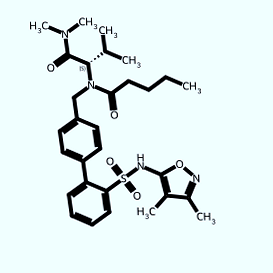 CCCCC(=O)N(Cc1ccc(-c2ccccc2S(=O)(=O)Nc2onc(C)c2C)cc1)[C@H](C(=O)N(C)C)C(C)C